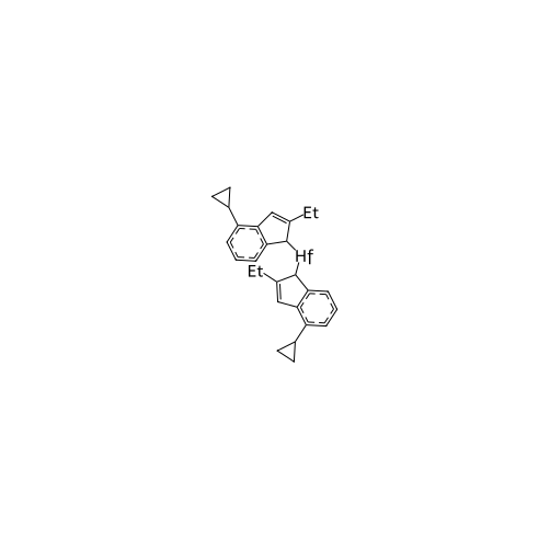 CCC1=Cc2c(C3CC3)cccc2[CH]1[Hf][CH]1C(CC)=Cc2c(C3CC3)cccc21